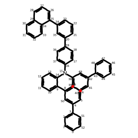 c1ccc(-c2cccc(-c3ccccc3N(c3ccc(-c4cccc(-c5cccc6ccccc56)c4)cc3)c3cccc(-c4ccccc4)c3)c2)cc1